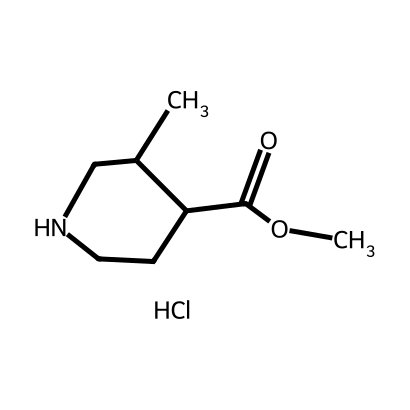 COC(=O)C1CCNCC1C.Cl